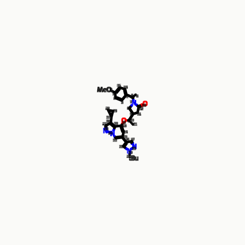 COc1ccc([C@@H](C)N2CC([C@@H](C)Oc3cc(-c4cnn(C(C)(C)C)c4)cn4ncc(C5CC5)c34)CC2=O)cc1